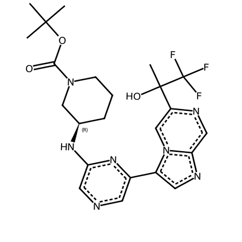 CC(C)(C)OC(=O)N1CCC[C@@H](Nc2cncc(-c3cnc4cnc(C(C)(O)C(F)(F)F)cn34)n2)C1